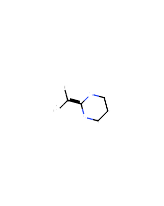 CC(C)C(=C1NCCCN1)C(C)C